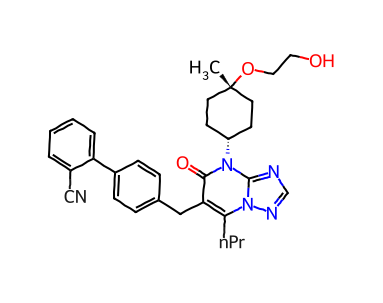 CCCc1c(Cc2ccc(-c3ccccc3C#N)cc2)c(=O)n([C@H]2CC[C@@](C)(OCCO)CC2)c2ncnn12